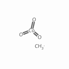 [CH3].[O]=[Co](=[O])=[O]